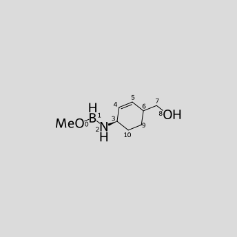 COBN[C@H]1C=CC(CO)CC1